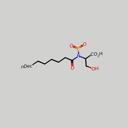 CCCCCCCCCCCCCCCC(=O)N(C(CO)C(=O)O)P(=O)=O